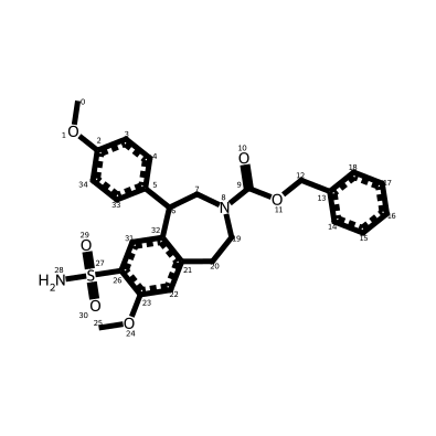 COc1ccc(C2CN(C(=O)OCc3ccccc3)CCc3cc(OC)c(S(N)(=O)=O)cc32)cc1